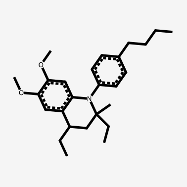 CCCCc1ccc(N2c3cc(OC)c(OC)cc3C(CC)CC2(C)CC)cc1